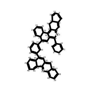 C1=CC2=Cc3nc(C4=CCCC=C4)c4c(c3CC2C=C1)C1C=CC=CC1C(c1cccc(-c2cc3cc5ccccc5nc3c3ccccc23)c1)=C4